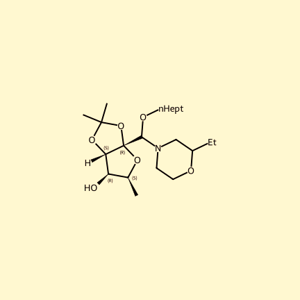 CCCCCCCOC(N1CCOC(CC)C1)[C@@]12O[C@@H](C)[C@@H](O)[C@@H]1OC(C)(C)O2